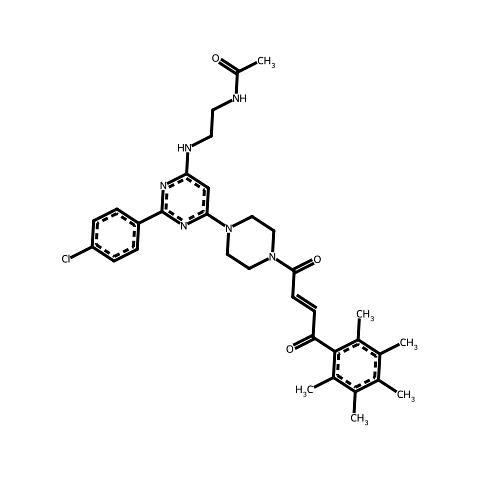 CC(=O)NCCNc1cc(N2CCN(C(=O)C=CC(=O)c3c(C)c(C)c(C)c(C)c3C)CC2)nc(-c2ccc(Cl)cc2)n1